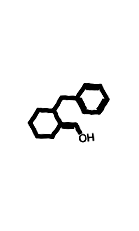 OC=C1CCCC[C]1Cc1ccccc1